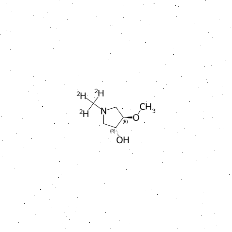 [2H]C([2H])([2H])N1C[C@@H](O)[C@H](OC)C1